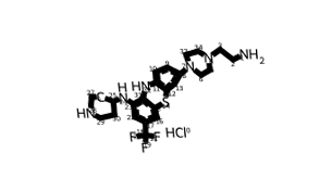 Cl.NCCN1CCN(c2ccc3c(c2)Sc2cc(C(F)(F)F)cc(NC4CCNCC4)c2N3)CC1